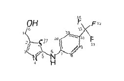 OCc1cnc(Nc2ccc(C(F)(F)F)cc2)s1